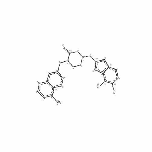 Nc1ncnc2cc(CN3CCN(Cc4cc5ccc(Cl)c(Cl)c5s4)CC3=O)ccc12